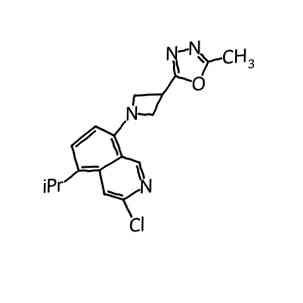 Cc1nnc(C2CN(c3ccc(C(C)C)c4cc(Cl)ncc34)C2)o1